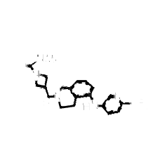 CNC(=O)N1CC(C(=O)N2CCc3c(cccc3Nc3ccc(C(F)(F)F)nc3)C2)C1